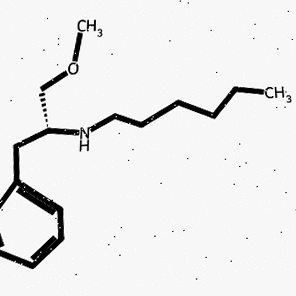 CCCCCCN[C@@H](COC)Cc1ccccc1